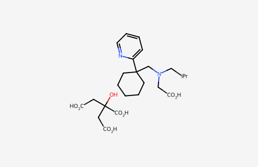 CC(C)CN(CC(=O)O)CC1(c2ccccn2)CCCCC1.O=C(O)CC(O)(CC(=O)O)C(=O)O